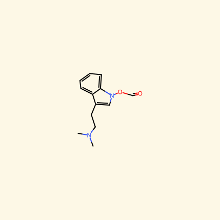 CN(C)CCc1cn(OC=O)c2ccccc12